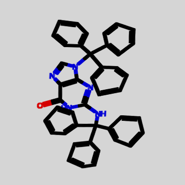 O=c1[nH]c(NC(c2ccccc2)(c2ccccc2)c2ccccc2)nc2c1ncn2C(c1ccccc1)(c1ccccc1)c1ccccc1